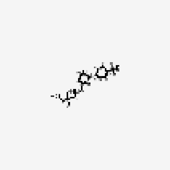 CC(C)(CO)CNCc1ccnc(-c2ccc(C(F)(F)F)cc2)n1